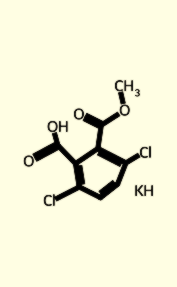 COC(=O)c1c(Cl)ccc(Cl)c1C(=O)O.[KH]